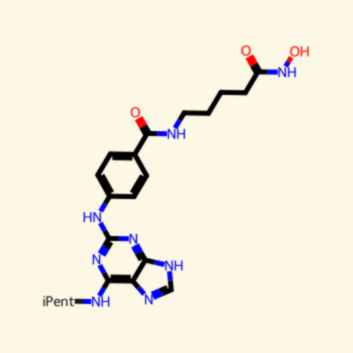 CCCC(C)Nc1nc(Nc2ccc(C(=O)NCCCCC(=O)NO)cc2)nc2[nH]cnc12